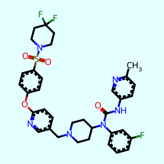 Cc1ccc(NC(=O)N(c2cccc(F)c2)C2CCN(Cc3ccc(Oc4ccc(S(=O)(=O)N5CCC(F)(F)CC5)cc4)nc3)CC2)cn1